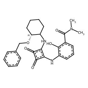 CN(C)C(=O)c1cccc(Nc2c(NC3CCCC[C@H]3OCc3ccccc3)c(=O)c2=O)c1O